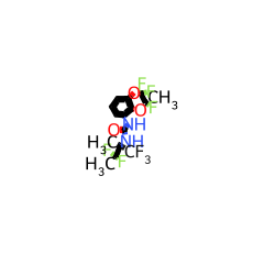 CC(F)(F)C(C)(NC(=O)Nc1cccc2c1OC(C)(F)C(F)(F)O2)C(F)(F)F